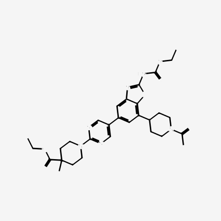 CCNC(=O)Nc1nc2cc(-c3cnc(N4CCC(C)(C(=O)OCC)CC4)nc3)cc(C3CCN(C(C)=O)CC3)c2s1